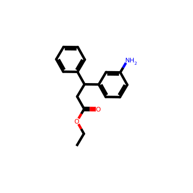 CCOC(=O)CC(c1ccccc1)c1cccc(N)c1